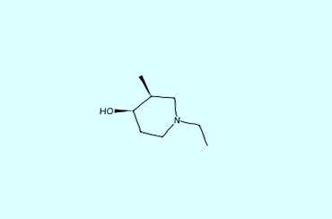 CCN1CC[C@@H](O)[C@@H](C)C1